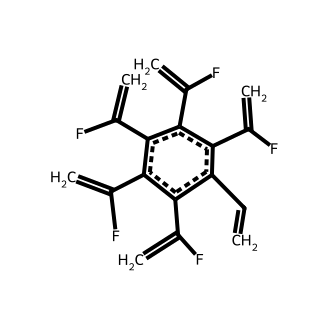 C=Cc1c(C(=C)F)c(C(=C)F)c(C(=C)F)c(C(=C)F)c1C(=C)F